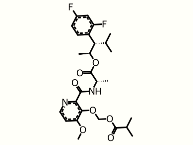 COc1ccnc(C(=O)N[C@@H](C)C(=O)O[C@@H](C)[C@H](c2ccc(F)cc2F)C(C)C)c1OCOC(=O)C(C)C